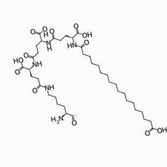 N[C@H]([C]=O)CCCCNC(=O)CC[C@H](NC(=O)CCC(NC(=O)CC[C@H](NC(=O)CCCCCCCCCCCCCCCCC(=O)O)C(=O)O)C(=O)O)C(=O)O